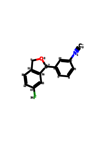 [C-]#[N+]c1cccc(B2OCc3ccc(F)cc32)c1